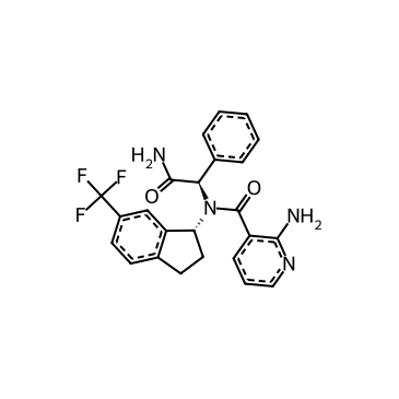 NC(=O)[C@@H](c1ccccc1)N(C(=O)c1cccnc1N)[C@@H]1CCc2ccc(C(F)(F)F)cc21